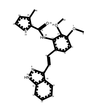 COc1ccc(/C=C/c2n[nH]c3ccccc23)c(NC(=O)c2sccc2C)c1OC